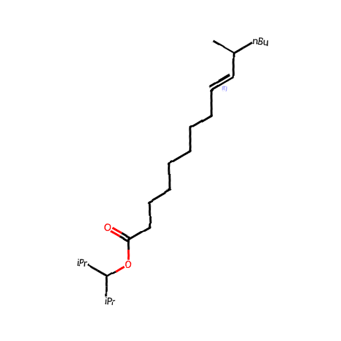 CCCCC(C)/C=C/CCCCCCCC(=O)OC(C(C)C)C(C)C